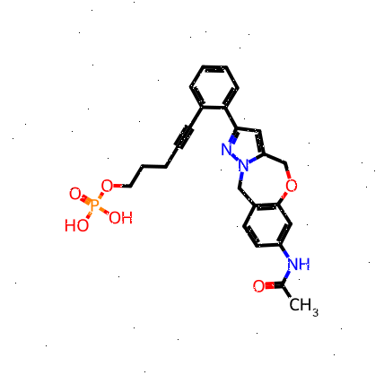 CC(=O)Nc1ccc2c(c1)OCc1cc(-c3ccccc3C#CCCCOP(=O)(O)O)nn1C2